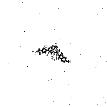 CC(C)C[C@@](F)(N[C@@H](c1ccc(-c2ccc(S(C)(=O)=O)cc2Cl)cc1)C(F)(F)F)C(=O)NC(C#N)Cc1ccc(C#N)cc1Cl